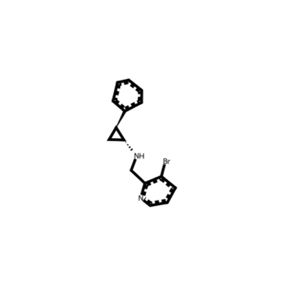 Brc1cccnc1CN[C@@H]1C[C@H]1c1ccccc1